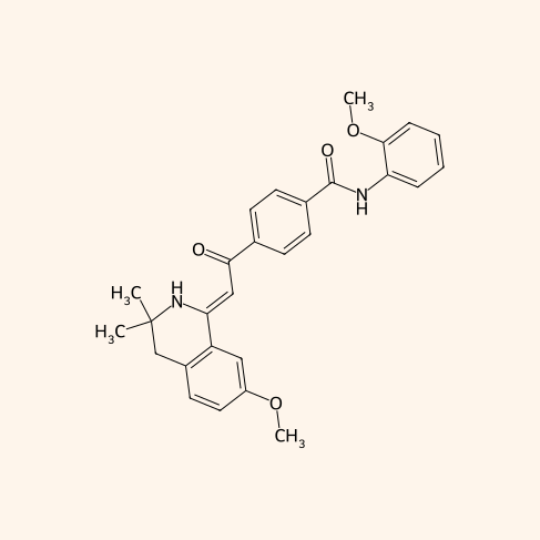 COc1ccc2c(c1)C(=CC(=O)c1ccc(C(=O)Nc3ccccc3OC)cc1)NC(C)(C)C2